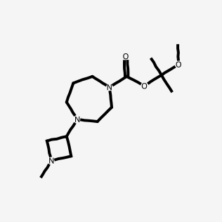 COC(C)(C)OC(=O)N1CCCN(C2CN(C)C2)CC1